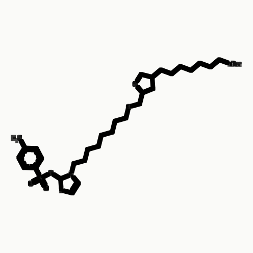 CCCCCCCCCCCCCCCCCC1COC(COCCCCCCCCN2C=CSC2OS(=O)(=O)c2ccc(C)cc2)C1